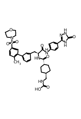 Cc1ccc(S(=O)(=O)N2CCOCC2)cc1-c1cccc(C[C@H](NC(=O)[C@H]2CC[C@H](CNC(=O)O)CC2)C(=O)Nc2ccc(-c3n[nH]c(=O)[nH]3)cc2)c1